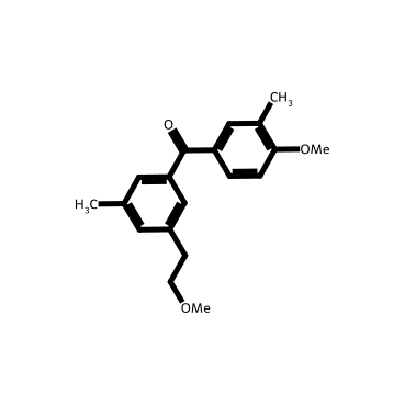 COCCc1cc(C)cc(C(=O)c2ccc(OC)c(C)c2)c1